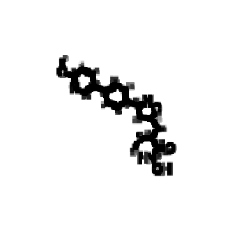 COc1ccc(-c2ccc(C3=NOC(CC(SC)C(=O)NO)C3)cc2)cn1